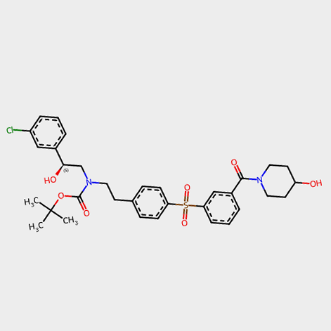 CC(C)(C)OC(=O)N(CCc1ccc(S(=O)(=O)c2cccc(C(=O)N3CCC(O)CC3)c2)cc1)C[C@@H](O)c1cccc(Cl)c1